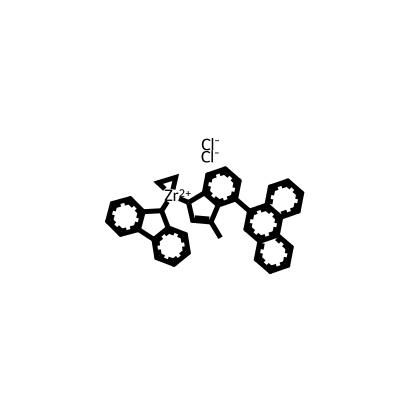 CC1=C[CH]([Zr+2]2([CH]3c4ccccc4-c4ccccc43)[CH2][CH2]2)c2cccc(-c3cc4ccccc4c4ccccc34)c21.[Cl-].[Cl-]